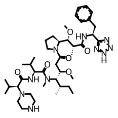 CC[C@H](C)[C@@H](C(CC(=O)N1CCC[C@H]1[C@H](OC)[C@@H](C)C(=O)N[C@@H](Cc1ccccc1)c1nn[nH]n1)OC)N(C)C(=O)[C@@H](NC(=O)[C@H](C(C)C)N1CCNCC1)C(C)C